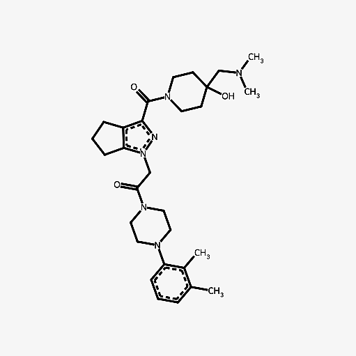 Cc1cccc(N2CCN(C(=O)Cn3nc(C(=O)N4CCC(O)(CN(C)C)CC4)c4c3CCC4)CC2)c1C